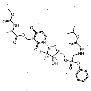 COC(=O)N[C@@H](C)C(=O)OCn1c(=O)ccn([C@@H]2O[C@H](COP(=O)(CN[C@@H](C)C(=O)OC(C)C)Oc3ccccc3)[C@@H](O)[C@@]2(C)F)c1=O